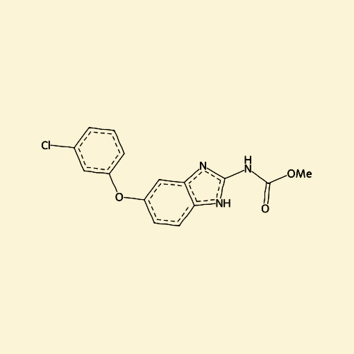 COC(=O)Nc1nc2cc(Oc3cccc(Cl)c3)ccc2[nH]1